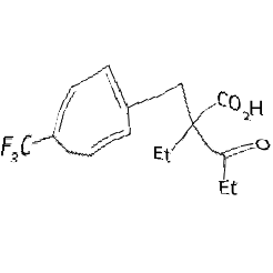 CCC(=O)C(CC)(Cc1ccc(C(F)(F)F)cc1)C(=O)O